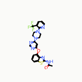 CC(=O)Nc1nc2c(Oc3cc(N4CCN(c5ncccc5C(F)(F)F)CC4)ncn3)cccc2s1